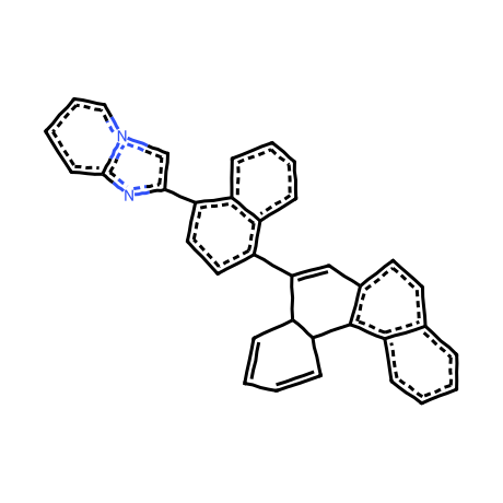 C1=CC2C(c3ccc(-c4cn5ccccc5n4)c4ccccc34)=Cc3ccc4ccccc4c3C2C=C1